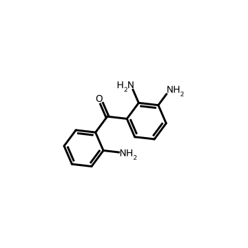 Nc1ccccc1C(=O)c1cccc(N)c1N